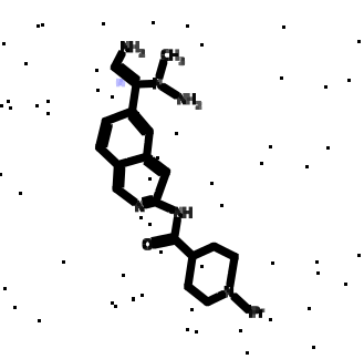 CC(C)N1CCC(C(=O)Nc2cc3cc(/C(=C/N)N(C)N)ccc3cn2)CC1